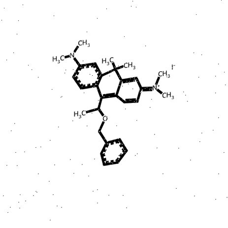 CC(OCc1ccccc1)C1=C2C=CC(=[N+](C)C)C=C2C(C)(C)c2cc(N(C)C)ccc21.[I-]